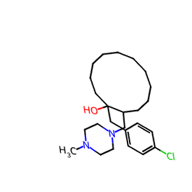 CN1CCN(CC2CCCCCCCCCCC2(O)Cc2ccc(Cl)cc2)CC1